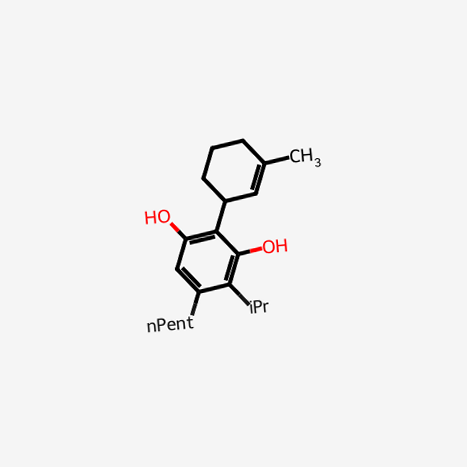 CCCCCc1cc(O)c(C2C=C(C)CCC2)c(O)c1C(C)C